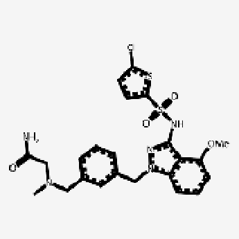 COc1cccc2c1c(NS(=O)(=O)c1ccc(Cl)s1)nn2Cc1cccc(CN(C)CC(N)=O)c1